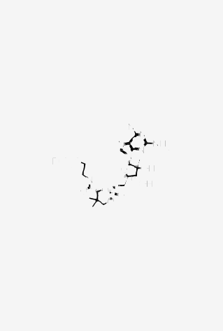 CCOC(=O)CCNC(=O)[C@@H]1OP(=O)(OC[C@H]2O[C@@H](n3cnc4c(N)nc(N)nc43)[C@](C)(O)[C@@H]2O)OCC1(C)C